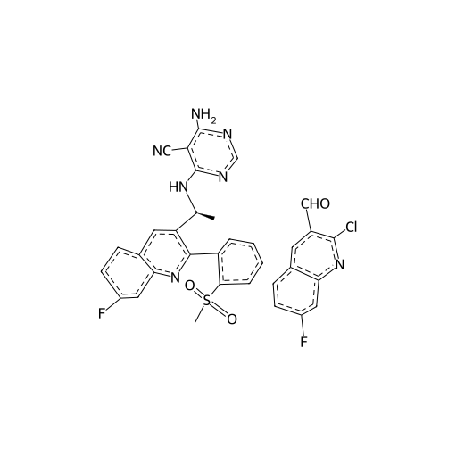 C[C@H](Nc1ncnc(N)c1C#N)c1cc2ccc(F)cc2nc1-c1ccccc1S(C)(=O)=O.O=Cc1cc2ccc(F)cc2nc1Cl